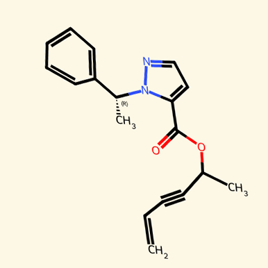 C=CC#CC(C)OC(=O)c1ccnn1[C@H](C)c1ccccc1